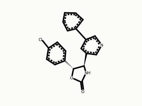 O=C1N[C@H](c2cncc(-c3ccccc3)c2)[C@@H](c2ccc(Cl)cc2)O1